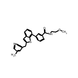 COCCNC(=O)c1cccc(-c2cccc3cc(Cc4cncc(C)c4)sc23)c1